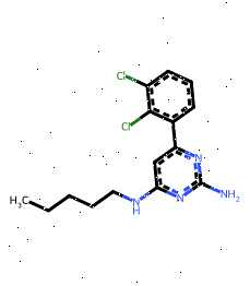 CCCCCNc1cc(-c2cccc(Cl)c2Cl)nc(N)n1